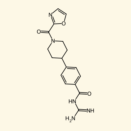 N=C(N)NC(=O)c1ccc(C2CCN(C(=O)c3ncco3)CC2)cc1